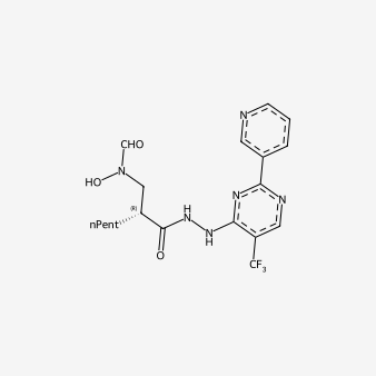 CCCCC[C@H](CN(O)C=O)C(=O)NNc1nc(-c2cccnc2)ncc1C(F)(F)F